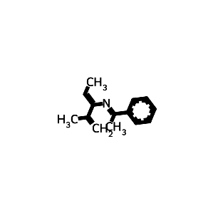 C=C(C)C(=C/C)/N=C(\C)c1ccccc1